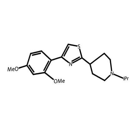 COc1ccc(-c2csc(C3CCN(C(C)C)CC3)n2)c(OC)c1